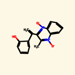 C=C(c1ccccc1O)c1c(C)[n+]([O-])c2ccccc2[n+]1[O-]